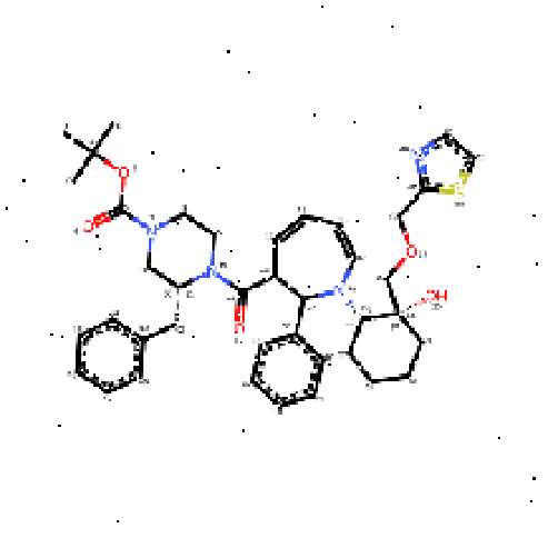 CC(C)(C)OC(=O)N1CCN(C(=O)C2C=CC=CN([C@H]3CCCC[C@]3(O)COCc3nccs3)C2c2ccccc2)[C@H](Cc2ccccc2)C1